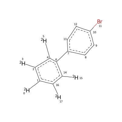 [2H]c1c([2H])c([2H])c(-c2ccc(Br)cc2)c([2H])c1[2H]